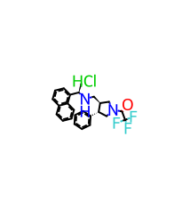 C[C@@H](NC[C@H]1CN(C(=O)C(F)(F)F)C[C@@H]1c1ccccc1)c1cccc2ccccc12.Cl